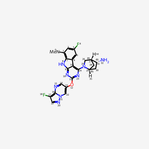 CNc1cc(F)cc2c1[nH]c1nc(Oc3cnc4c(F)cnn4c3)nc(N3C[C@H]4C[C@@H]3C[C@H]4N)c12